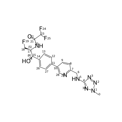 Cn1nnc(NCc2ccc(-c3ccc([C@@H](O)[C@@H](CF)NC(=O)C(F)F)cc3)cn2)n1